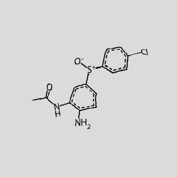 CC(=O)Nc1cc([S+]([O-])c2ccc(Cl)cc2)ccc1N